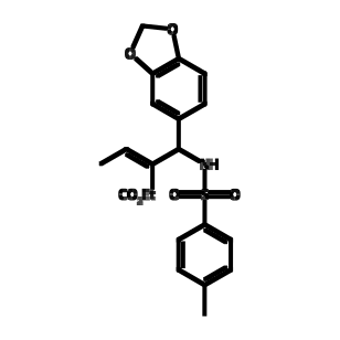 CC=C(C(=O)OCC)C(NS(=O)(=O)c1ccc(C)cc1)c1ccc2c(c1)OCO2